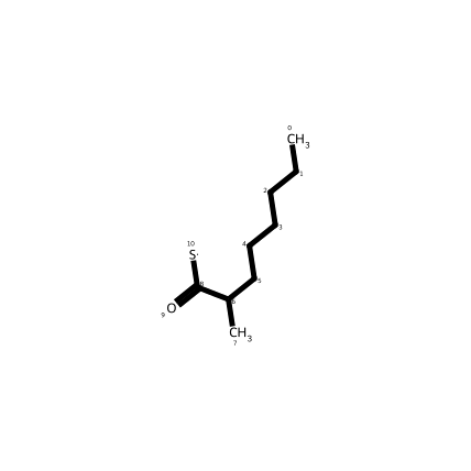 CCCCCCC(C)C(=O)[S]